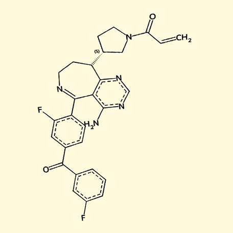 C=CC(=O)N1CC[C@@H](C2CCN=C(c3ccc(C(=O)c4cccc(F)c4)cc3F)c3c(N)ncnc32)C1